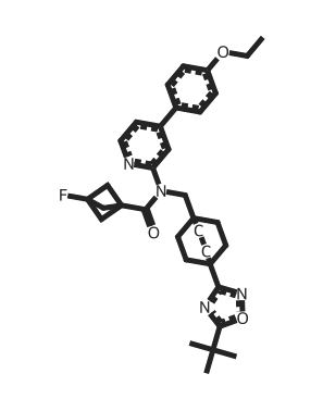 CCOc1ccc(-c2ccnc(N(CC34CCC(c5noc(C(C)(C)C)n5)(CC3)CC4)C(=O)C34CC(F)(C3)C4)c2)cc1